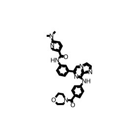 CN(C)c1ccc(C(=O)Nc2cccc(-c3cn4ccnc4c(Nc4ccc(C(=O)N5CCOCC5)cc4)n3)c2)cn1